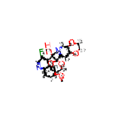 COc1ccc2ncc(F)c(C(C)(O)C3(c4cc5c(cn4)OCCO5)OCCCO3)c2c1